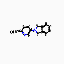 O=Cc1ccc(N2Cc3ccccc3C2)cn1